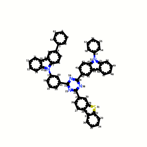 c1ccc(-c2ccc3c(c2)c2ccccc2n3-c2cccc(-c3nc(-c4ccc5c(c4)sc4ccccc45)nc(-c4ccc5c(c4)c4ccccc4n5-c4ccccc4)n3)c2)cc1